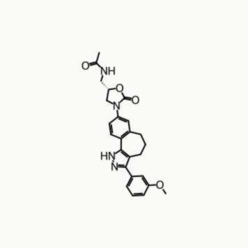 COc1cccc(-c2n[nH]c3c2CCCc2cc(N4C[C@H](CNC(C)=O)OC4=O)ccc2-3)c1